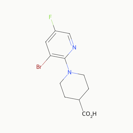 O=C(O)C1CCN(c2ncc(F)cc2Br)CC1